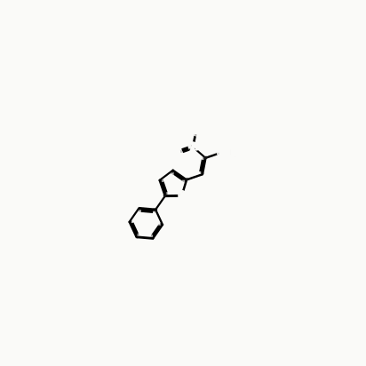 C/C(=C/c1ccc(-c2ccccc2)s1)[N+](=O)[O-]